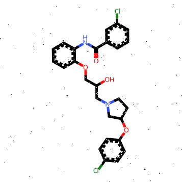 O=C(Nc1ccccc1OCC(O)CN1CCC(Oc2ccc(Cl)cc2)C1)c1cccc(Cl)c1